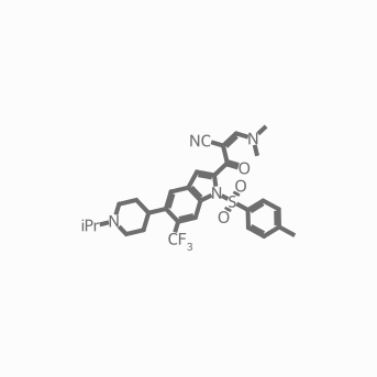 Cc1ccc(S(=O)(=O)n2c(C(=O)/C(C#N)=C\N(C)C)cc3cc(C4CCN(C(C)C)CC4)c(C(F)(F)F)cc32)cc1